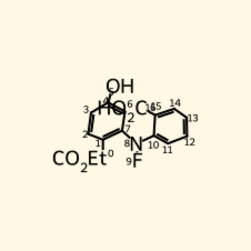 CCOC(=O)c1ccc(O)cc1N(F)c1ccccc1C(=O)O